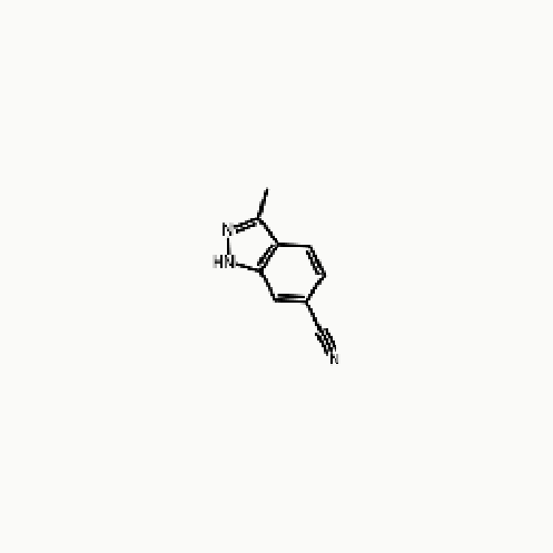 Cc1n[nH]c2cc(C#N)ccc12